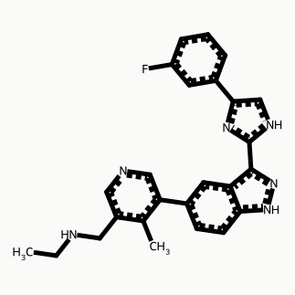 CCNCc1cncc(-c2ccc3[nH]nc(-c4nc(-c5cccc(F)c5)c[nH]4)c3c2)c1C